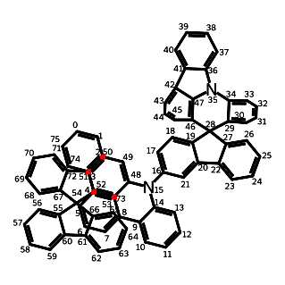 c1ccc(-c2cccc(-c3ccccc3N(c3ccc4c(c3)-c3ccccc3C43c4ccccc4-n4c5ccccc5c5cccc3c54)c3ccc4c(c3)C3(c5ccccc5-c5ccccc53)c3ccccc3-4)c2)cc1